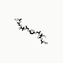 CC(C)OC(C)COC(=O)C(C)(P)OC(C)COC(=O)/C=C\C(=O)OCC(C)OC(C)(C)C(=O)OCC(C)OC(C)P